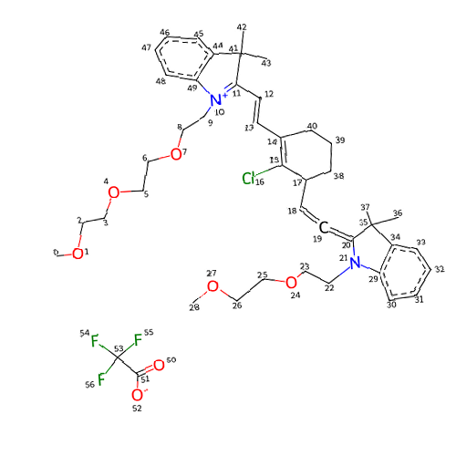 COCCOCCOCC[N+]1=C(/C=C/C2=C(Cl)C(C=C=C3N(CCOCCOC)c4ccccc4C3(C)C)CCC2)C(C)(C)c2ccccc21.O=C([O-])C(F)(F)F